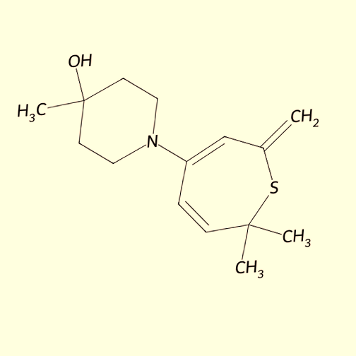 C=C1C=C(N2CCC(C)(O)CC2)C=CC(C)(C)S1